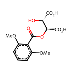 COc1cccc(OC)c1C(=O)O[C@H](C(=O)O)[C@H](O)C(=O)O